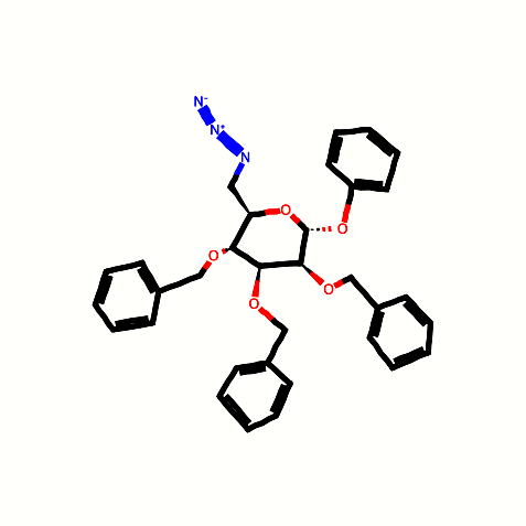 [N-]=[N+]=NC[C@H]1O[C@H](Oc2ccccc2)[C@@H](OCc2ccccc2)[C@@H](OCc2ccccc2)[C@@H]1OCc1ccccc1